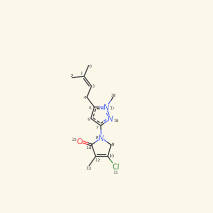 CC(C)=CCc1cc(N2CC(Cl)=C(C)C2=O)nn1C